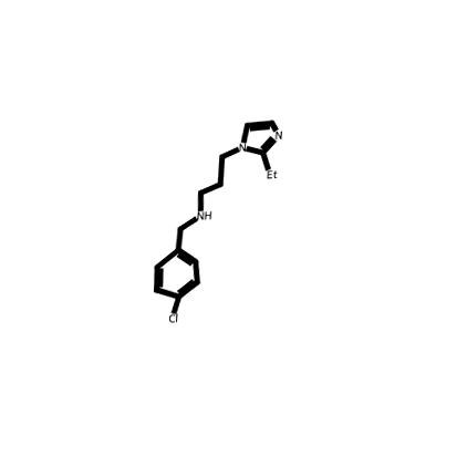 CCc1nccn1CCCNCc1ccc(Cl)cc1